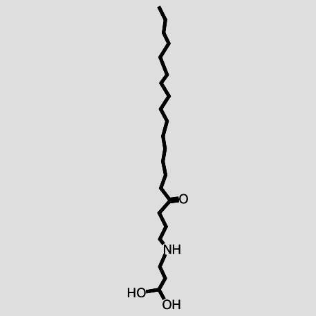 CCCCCCCCCCCCCCCC(=O)CCCNCCC(O)O